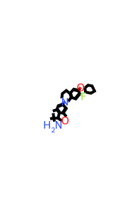 Cc1cc(N2CCCc3cc(OC4CCCCC4)c(F)cc3C2)cc(C)c1C(C(N)=O)C(C)(C)C